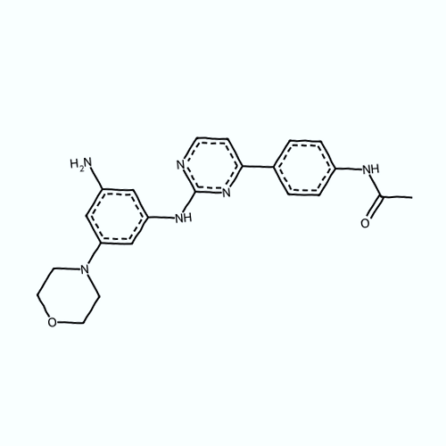 CC(=O)Nc1ccc(-c2ccnc(Nc3cc(N)cc(N4CCOCC4)c3)n2)cc1